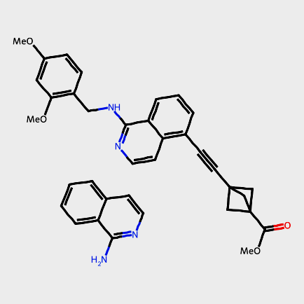 COC(=O)C12CC(C#Cc3cccc4c(NCc5ccc(OC)cc5OC)nccc34)(C1)C2.Nc1nccc2ccccc12